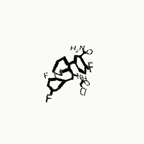 NC(=O)c1cc(-c2cccnc2C(Cc2cc(F)cc(F)c2)NC(=O)CCl)ccc1F